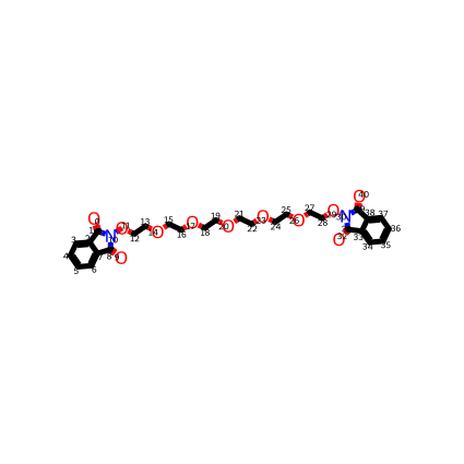 O=C1c2ccccc2C(=O)N1OCCOCCOCCOCCOCCOCCON1C(=O)c2ccccc2C1=O